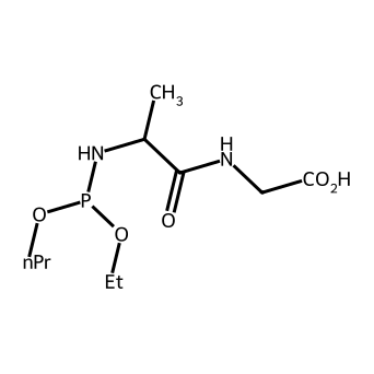 CCCOP(NC(C)C(=O)NCC(=O)O)OCC